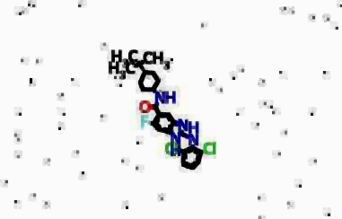 CC(C)(C)[C@H]1CC[C@@H](NC(=O)c2cc3nc(Nc4c(Cl)cccc4Cl)[nH]c3cc2F)CC1